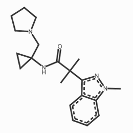 Cn1nc(C(C)(C)C(=O)NC2(CN3CCCC3)CC2)c2ccccc21